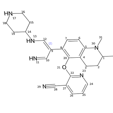 CC1CCc2c(ccc(/C(C=N)=C/NC3CCNCC3)c2Oc2ncccc2C#N)N1C